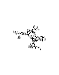 CC(S)CC(=O)OCC(CO)(COCC(CO)(COC(=O)CC(C)S)COC(=O)CC(C)S)COC(=O)CC(C)S